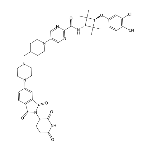 CC1(C)[C@H](NC(=O)c2ncc(N3CCC(CN4CCN(c5ccc6c(c5)C(=O)N(C5CCC(=O)NC5=O)C6=O)CC4)CC3)cn2)C(C)(C)[C@H]1Oc1ccc(C#N)c(Cl)c1